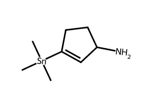 [CH3][Sn]([CH3])([CH3])[C]1=CC(N)CC1